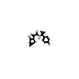 O=C(NC1(c2ccc(F)cc2)CC1)C1=NN=C2C1CC1CC21